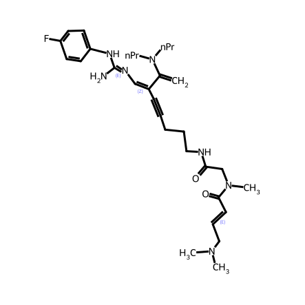 C=C(/C(C#CCCCNC(=O)CN(C)C(=O)/C=C/CN(C)C)=C\N=C(/N)Nc1ccc(F)cc1)N(CCC)CCC